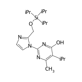 Cc1nc(-n2ccnc2CO[Si](C(C)C)(C(C)C)C(C)C)nc(O)c1C(C)C